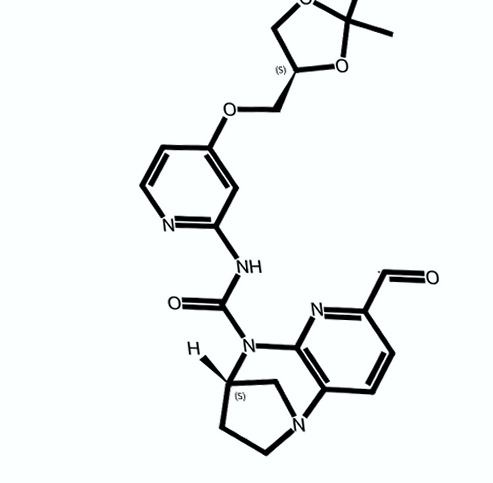 CC1(C)OC[C@H](COc2ccnc(NC(=O)N3c4nc([C]=O)ccc4N4CC[C@H]3C4)c2)O1